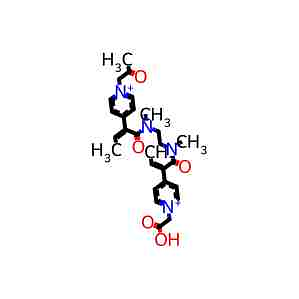 C/C=C(\C(=O)N(C)CCN(C)C(=O)/C(=C\C)c1cc[n+](CC(=O)O)cc1)c1cc[n+](CC(C)=O)cc1